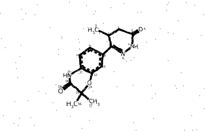 CC1CC(=O)NN=C1c1ccc2c(c1)OC(C)(C)C(=O)N2